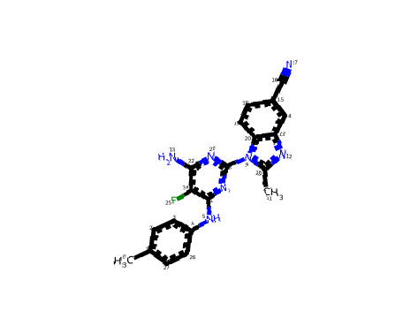 Cc1ccc(Nc2nc(-n3c(C)nc4cc(C#N)ccc43)nc(N)c2F)cc1